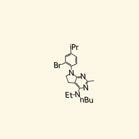 CCCCN(CC)c1nc(C)nc2c1CCN2c1ccc(C(C)C)cc1Br